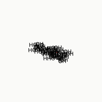 CC(=O)N[C@H]1[C@H](O[C@H]2[C@@H](O)[C@@H](CO)O[C@@H](O[C@H]3[C@H](O)[C@@H](O)[C@H](O)O[C@@H]3CO)[C@@H]2O)O[C@H](CO)[C@@H](O[C@@H]2O[C@H](CO)[C@H](O)[C@H](O[C@H]3O[C@H](CO)[C@H](O)[C@H](O[C@@H]4O[C@H](CO)[C@H](O)[C@H](O)[C@H]4O[C@@H]4O[C@@H](C)[C@@H](O)[C@@H](O)[C@@H]4O)[C@H]3NC(C)=O)[C@H]2O[C@@H]2O[C@@H](C)[C@@H](O)[C@@H](O)[C@@H]2O)[C@@H]1O